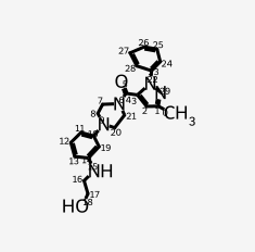 Cc1cc(C(=O)N2CCN(c3cccc(NCCO)c3)CC2)n(-c2ccccc2)n1